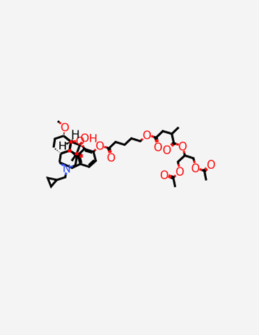 CO[C@@]12CC[C@@]3(C[C@@H]1[C@](C)(O)C(C)(C)C)C1Cc4ccc(OC(=O)CCCCOC(=O)CC(C)C(=O)OC(COC(C)=O)COC(C)=O)c5c4[C@@]3(CCN1CC1CC1)[C@H]2O5